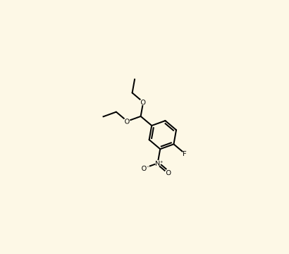 CCOC(OCC)c1ccc(F)c([N+](=O)[O-])c1